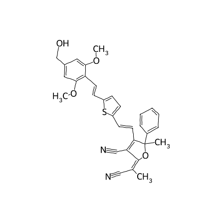 COc1cc(CO)cc(OC)c1/C=C/c1ccc(/C=C/C2=C(C#N)C(=C(/C)C#N)/OC2(C)c2ccccc2)s1